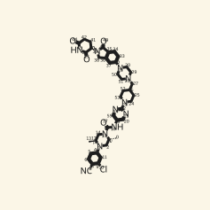 C[C@@H]1CN(c2ccc(C#N)c(Cl)c2)[C@@H](C)CN1C(=O)Nc1cnc(N2CCC(CN3CCN(c4ccc5c(c4)CN([C@H]4CCC(=O)NC4=O)C5=O)CC3)CC2)nc1